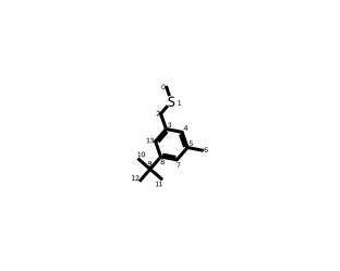 CSCc1cc(C)cc(C(C)(C)C)c1